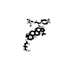 C=C(C)[C@@H]1CC[C@]2(NC[C@H]([C@@H](C)OCP(=O)(OC)OC)N3CCS(=O)(=O)CC3)CC[C@]3(C)[C@H](CC[C@@H]4[C@@]5(C)CC[C@H](OC(=O)CC(C)(C)C(=O)O)C(C)(C)[C@@H]5CC[C@]43C)[C@@H]12